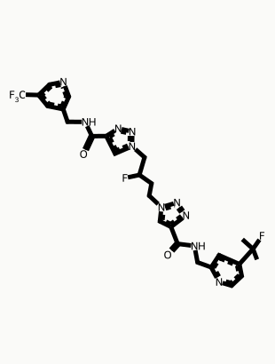 CC(C)(F)c1ccnc(CNC(=O)c2cn(CCC(F)Cn3cc(C(=O)NCc4cncc(C(F)(F)F)c4)nn3)nn2)c1